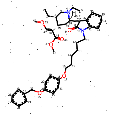 CC[C@H]1CN2CC[C@]3(C(=O)N(CCCCCCOc4ccc(OCc5ccccc5)cc4)c4ccccc43)[C@H]2C[C@@H]1/C(=C\OC)C(=O)OC